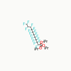 CC(C)O[Si](OC(C)C)(OC(C)C)C(F)C(F)(F)C(F)(F)C(F)(F)C(F)(F)C(F)(F)C(F)(F)C(F)C(F)C(F)F